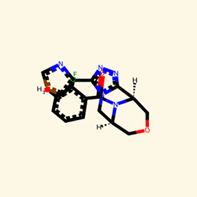 Cc1cccc(C(=O)N2[C@H]3COC[C@@H]2c2nnc(-c4cscn4)n2C3)c1F